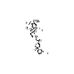 COc1cc(C)c(S(=O)(=O)N(CCOCC(=O)N2CCC(O)(c3cccc(C(F)(F)F)c3)CC2)CC(C)C)c(C)c1C